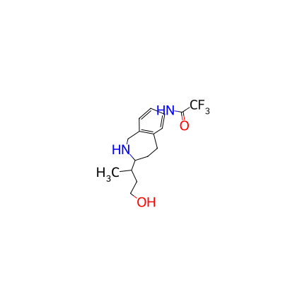 CC(CCO)C1CCc2cc(NC(=O)C(F)(F)F)ccc2CN1